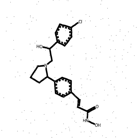 O=C(C=Cc1ccc(C2CCCN2CC(O)c2ccc(Cl)cc2)cc1)NO